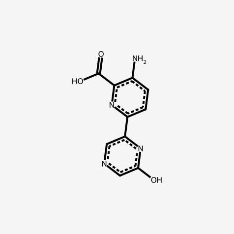 Nc1ccc(-c2cncc(O)n2)nc1C(=O)O